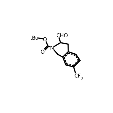 CC(C)(C)OC(=O)N1Cc2cc(C(F)(F)F)ccc2CC1C=O